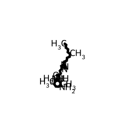 CCCCCC(C)CCCCn1cc(CCC(=O)NC2(C)CC(C)(N)CCCC2(C)N)nn1